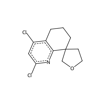 Clc1cc(Cl)c2c(n1)C1(CCC2)CCOC1